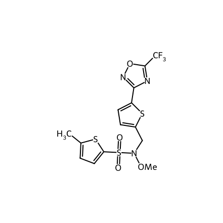 CON(Cc1ccc(-c2noc(C(F)(F)F)n2)s1)S(=O)(=O)c1ccc(C)s1